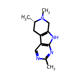 Cc1ncc2c3c([nH]c2n1)CN(C)[C@@H](C)C3